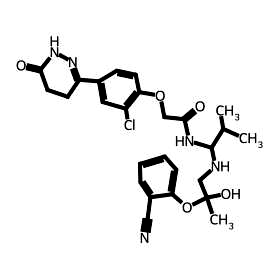 CC(C)C(NCC(C)(O)Oc1ccccc1C#N)NC(=O)COc1ccc(C2=NNC(=O)CC2)cc1Cl